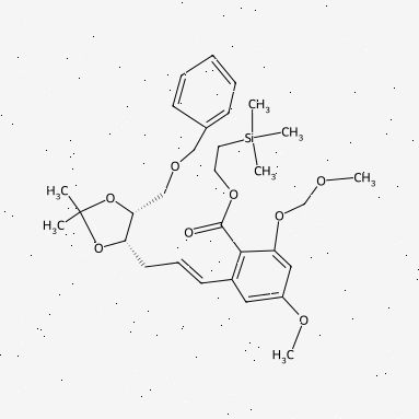 COCOc1cc(OC)cc(/C=C/C[C@@H]2OC(C)(C)O[C@@H]2COCc2ccccc2)c1C(=O)OCC[Si](C)(C)C